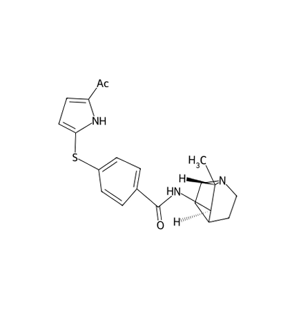 CC(=O)c1ccc(Sc2ccc(C(=O)N[C@@H]3C4CCN(CC4)[C@H]3C)cc2)[nH]1